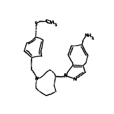 CSc1ccc(CN2CCCC(n3ncc4cc(N)ccc43)C2)cc1